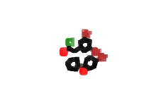 BrC1=CC2OC2(c2ccccc2)C=C1.O=C(Cl)Cc1cc(Br)cc(Br)c1